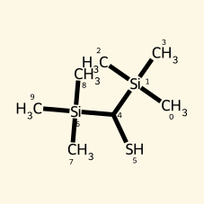 C[Si](C)(C)C(S)[Si](C)(C)C